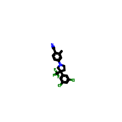 Cc1cc(N2CCC(c3cc(Cl)cc(Cl)c3)(C(F)(F)F)C2)ccc1C#N